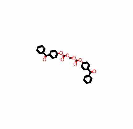 O=C(OCOC(=O)Oc1ccc(C(=O)c2ccccc2)cc1)Oc1ccc(C(=O)c2ccccc2)cc1